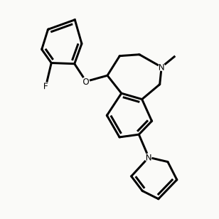 CN1CCC(Oc2ccccc2F)c2ccc(N3C=CC=CC3)cc2C1